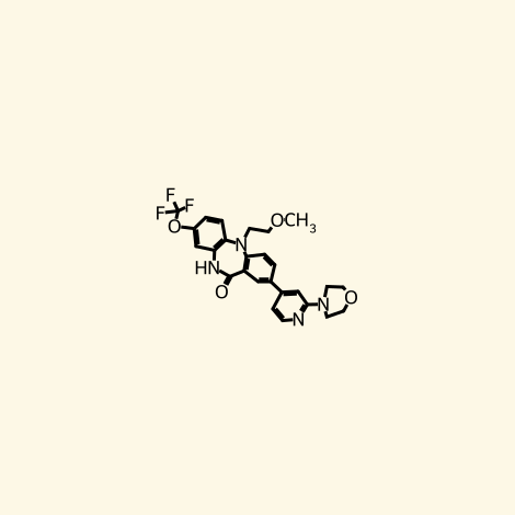 COCCN1c2ccc(OC(F)(F)F)cc2NC(=O)c2cc(-c3ccnc(N4CCOCC4)c3)ccc21